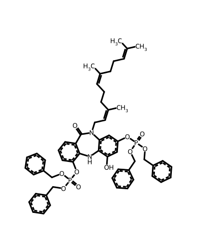 CC(C)=CCCC(C)=CCCC(C)=CCN1C(=O)c2cccc(OP(=O)(OCc3ccccc3)OCc3ccccc3)c2Nc2c(O)cc(OP(=O)(OCc3ccccc3)OCc3ccccc3)cc21